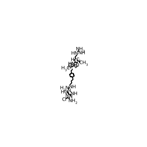 CN(C)C(=O)[C@H](CCCCNC(=N)N)NC(=O)[C@H](CCc1ccc(CCCCN/C(N)=N/C(O)=C2/N=C(Cl)C(N)=NC2=N)cc1)N(C)C